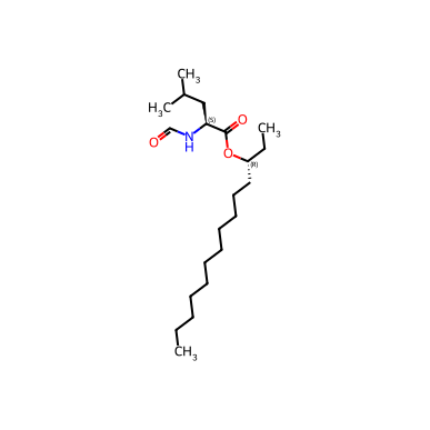 CCCCCCCCCCC[C@@H](CC)OC(=O)[C@H](CC(C)C)NC=O